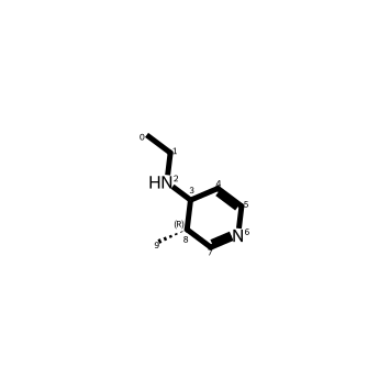 CCNC1C=CN=C[C@@H]1C